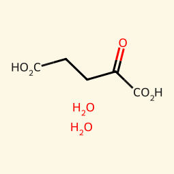 O.O.O=C(O)CCC(=O)C(=O)O